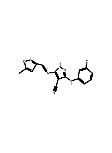 Cc1cc(/C=N/c2[nH]nc(Nc3cccc(Cl)c3)c2C#N)no1